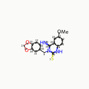 COc1ccc2[nH]c(=S)n(Cc3ccc4c(c3)OCO4)c(=N)c2c1